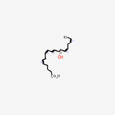 CC/C=C\C/C=C\C[C@H](O)/C=C/C=C\C/C=C\CCCC(=O)O